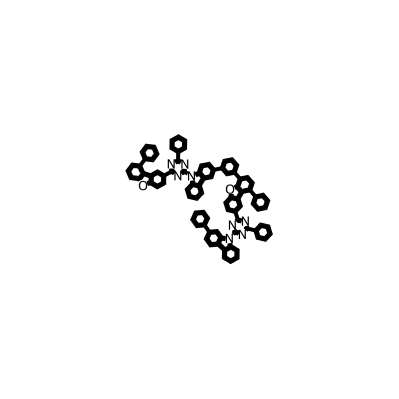 c1ccc(-c2ccc3c4ccccc4n(-c4nc(-c5ccccc5)nc(-c5ccc6oc7c(-c8cccc(-c9ccc%10c(c9)c9ccccc9n%10-c9nc(-c%10ccccc%10)nc(-c%10ccc%11oc%12cccc(-c%13ccccc%13)c%12c%11c%10)n9)c8)ccc(-c8ccccc8)c7c6c5)n4)c3c2)cc1